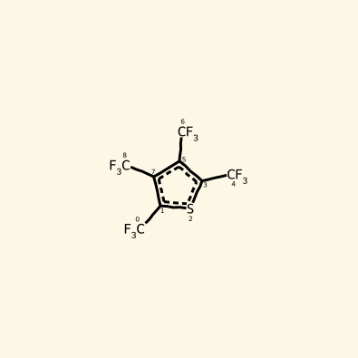 FC(F)(F)c1sc(C(F)(F)F)c(C(F)(F)F)c1C(F)(F)F